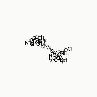 CC(C)(C)[C@H](NC(=O)COCCN1CCN(c2ccc(C(=O)N[C@H]3C(C)(C)[C@H](Oc4ccc(C#N)c(Cl)c4)C3(C)C)cn2)CC1)C(=O)N1C[C@H](O)C[C@H]1C(=O)NCc1ccc(Cl)cc1